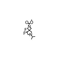 COC(=O)N1CC2(C1)CN(C(C)C)CC2(F)F